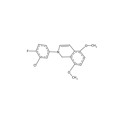 COc1ccc(OC)c2c1C=CN(c1ccc(F)c(Cl)c1)C2